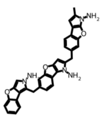 Cc1cc2c3ccc(Cc4cc5oc6cc(Cc7c8c(cn7N)oc7ccccc78)ccc6c5n4N)cc3oc2n1N